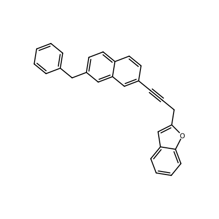 C(#Cc1ccc2ccc(Cc3ccccc3)cc2c1)Cc1cc2ccccc2o1